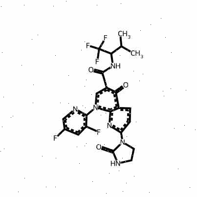 CC(C)C(NC(=O)c1cn(-c2ncc(F)cc2F)c2nc(N3CCNC3=O)ccc2c1=O)C(F)(F)F